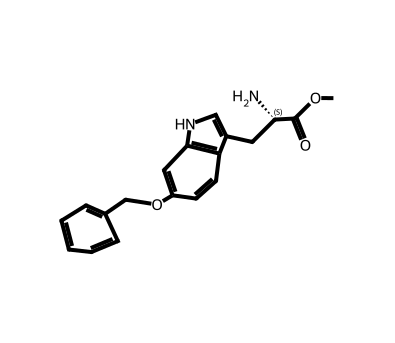 COC(=O)[C@@H](N)Cc1c[nH]c2cc(OCc3ccccc3)ccc12